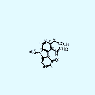 CCCCN1C2=CN=CC(=O)C2c2c1ccc(CC(=O)O)c2NC=O